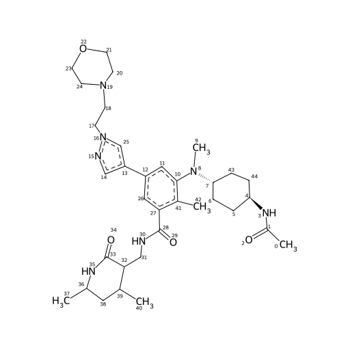 CC(=O)N[C@H]1CC[C@H](N(C)c2cc(-c3cnn(CCN4CCOCC4)c3)cc(C(=O)NCC3C(=O)NC(C)CC3C)c2C)CC1